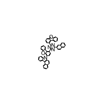 c1ccc2cc(-c3nc(-c4cccc5oc6ccccc6c45)nc(-c4ccc(-n5c6ccccc6c6c7ccccc7ccc65)c5oc6ccccc6c45)n3)ccc2c1